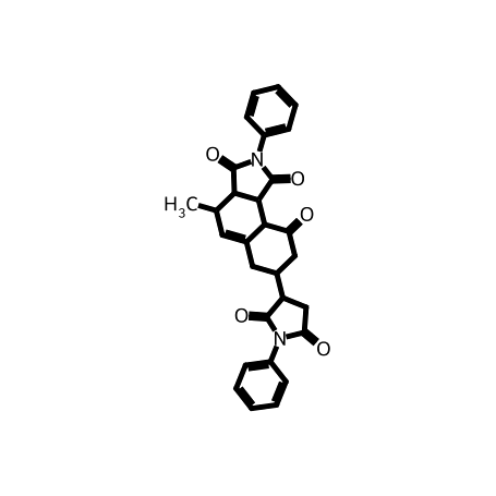 CC1C=C2CC(C3CC(=O)N(c4ccccc4)C3=O)CC(=O)C2C2C(=O)N(c3ccccc3)C(=O)C12